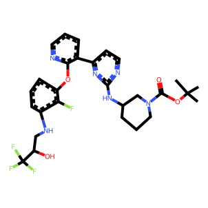 CC(C)(C)OC(=O)N1CCCC(Nc2nccc(-c3cccnc3Oc3cccc(NCC(O)C(F)(F)F)c3F)n2)C1